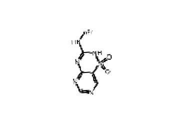 CCCNC1=Nc2ncncc2S(=O)(=O)N1